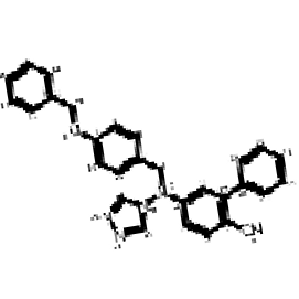 N#Cc1ccc(N(Cc2ccc(OCc3ccccc3)cc2)n2cnnc2)cc1-c1ccccc1